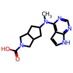 CN(c1ncnc2[nH]ccc12)C1CC2CN(C(=O)O)CC2C1